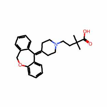 CC(C)(CCN1CCC(=C2c3ccccc3COc3ccccc32)CC1)C(=O)O